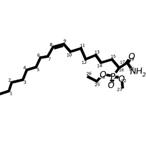 CCCCCCCC/C=C\CCCCCCC(C(N)=O)P(=O)(OC)OCC